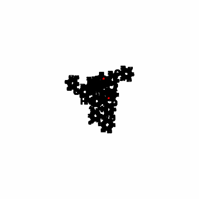 Cc1cc(C)c(N2c3cc4c(cc3B3c5cc(B6c7ccc(Oc8ccccc8)cc7Oc7c6[nH]c6ccccc76)ccc5Oc5cc(Oc6ccccc6)cc2c53)B2c3c(cc(Oc5ccccc5)cc3Oc3c2n(-c2ccccc2)c2ccccc32)N4)c(C)c1